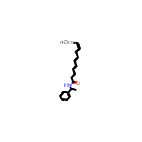 CCCCCCCC/C=C\CCCCCCCC(=O)NC(C)c1ccccc1